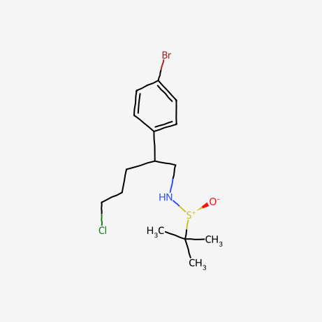 CC(C)(C)[S@+]([O-])NCC(CCCCl)c1ccc(Br)cc1